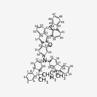 CC1(C)c2ccccc2-c2ccc(N(c3ccc4c(c3)C(C)(C)c3ccccc3-4)c3ccc4c(c3)oc3c(-c5cccc6c5sc5ccccc56)c5ccccc5cc34)cc21